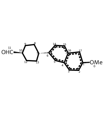 COc1ccc2cc([C@H]3CC[C@H](C=O)CC3)ccc2c1